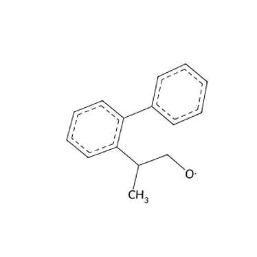 CC(C[O])c1ccccc1-c1ccccc1